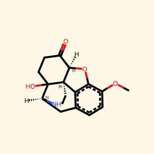 COc1ccc2c3c1O[C@@H]1C(=O)CCC4(O)[C@H](C2)NCC[C@@]314